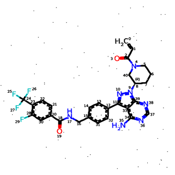 C=CC(=O)N1CCC[C@@H](n2nc(-c3ccc(CNC(=O)c4ccc(C(F)(F)F)c(F)c4)cc3)c3c(N)ncnc32)C1